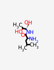 CC(C)C[C@H](N)C(=O)N[C@@H](CO)C(C)O